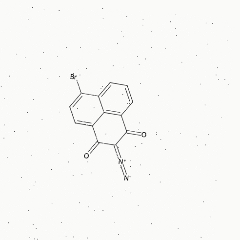 [N-]=[N+]=C1C(=O)c2cccc3c(Br)ccc(c23)C1=O